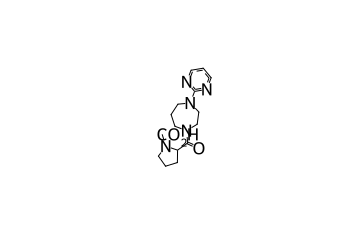 O=C(C1CCCN1C(=O)O)N1CCCN(c2ncccn2)CC1